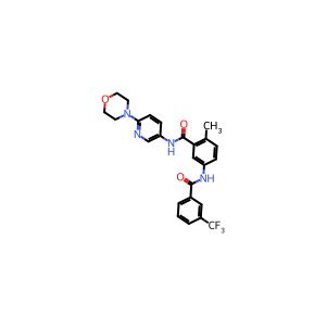 Cc1ccc(NC(=O)c2cccc(C(F)(F)F)c2)cc1C(=O)Nc1ccc(N2CCOCC2)nc1